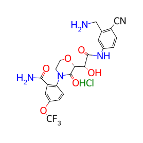 Cl.N#Cc1ccc(NC(=O)[C@H](O)[C@H]2OCCN(c3ccc(OC(F)(F)F)cc3C(N)=O)C2=O)cc1CN